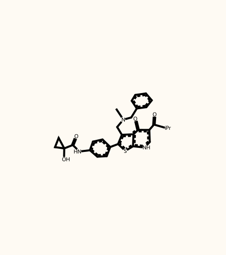 CC(C)C(=O)c1c[nH]c2sc(-c3ccc(NC(=O)C4(O)CC4)cc3)c(CN(C)Cc3ccccc3)c2c1=O